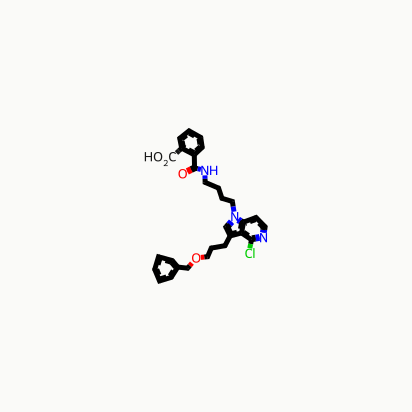 O=C(O)c1ccccc1C(=O)NCCCCn1cc(CCCOCc2ccccc2)c2c(Cl)nccc21